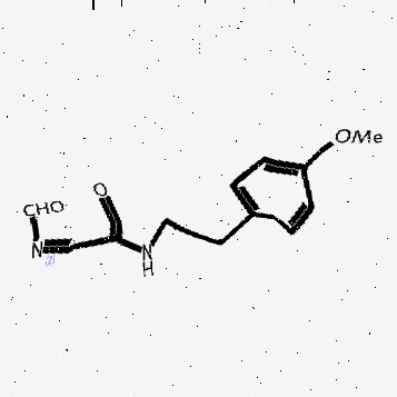 COc1ccc(CCNC(=O)/C=N\[C]=O)cc1